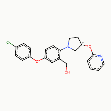 OCc1cc(Oc2ccc(Cl)cc2)ccc1N1CC[C@H](Oc2ccccn2)C1